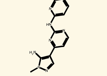 Cn1ncc(-c2ccnc(Nc3ccccn3)n2)c1N